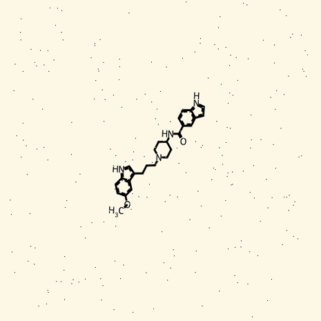 COc1ccc2[nH]cc(CCCN3CCC(NC(=O)c4ccc5[nH]ccc5c4)CC3)c2c1